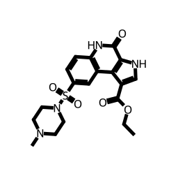 CCOC(=O)c1c[nH]c2c(=O)[nH]c3ccc(S(=O)(=O)N4CCN(C)CC4)cc3c12